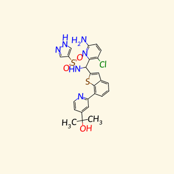 CC(C)(O)c1ccnc(-c2cccc3cc(C(NS(=O)(=O)c4cn[nH]c4)c4nc(N)ccc4Cl)sc23)c1